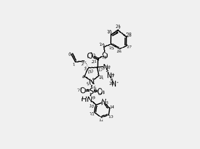 C=CC[C@H]1CN(S(=O)(=O)Nc2ccccn2)CC1(N=[N+]=[N-])C(=O)OCc1ccccc1